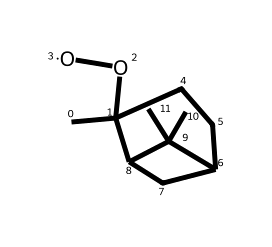 CC1(O[O])CCC2CC1C2(C)C